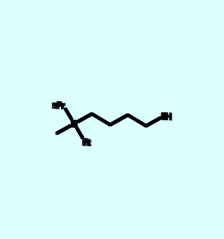 CCC[Si](C)(CC)CCCCS